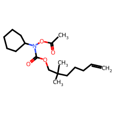 C=CCCCC(C)(C)COC(=O)N(OC(C)=O)C1CCCCC1